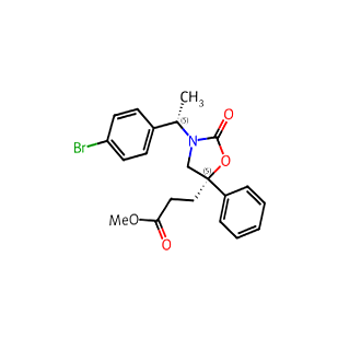 COC(=O)CC[C@]1(c2ccccc2)CN([C@@H](C)c2ccc(Br)cc2)C(=O)O1